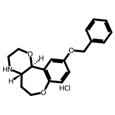 Cl.c1ccc(COc2ccc3c(c2)[C@@H]2OCCN[C@H]2CCO3)cc1